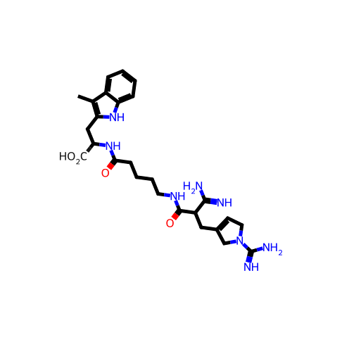 Cc1c(CC(NC(=O)CCCCNC(=O)C(CC2=CCN(C(=N)N)C2)C(=N)N)C(=O)O)[nH]c2ccccc12